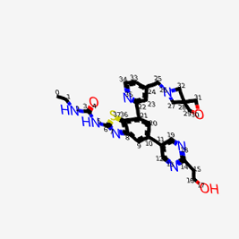 CCNC(=O)Nc1nc2cc(-c3cnc(CCO)nc3)cc(-c3cc(CN4CC5(COC5)C4)ccn3)c2s1